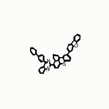 c1ccc(-c2ccc(-c3nc(-c4ccc5c6c(cccc46)-c4cc(-c6ccc7c(c6)oc6ccccc67)ccc4S5)nc4ccccc34)cc2)cc1